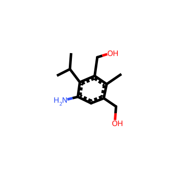 Cc1c(CO)cc(N)c(C(C)C)c1CO